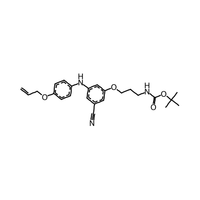 C=CCOc1ccc(Nc2cc(C#N)cc(OCCCNC(=O)OC(C)(C)C)c2)cc1